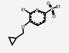 CCc1nc(S(=O)(=O)CC)ccc1OCC1CC1